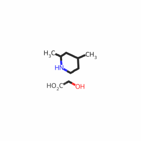 CC1CCNC(C)C1.O=C(O)CO